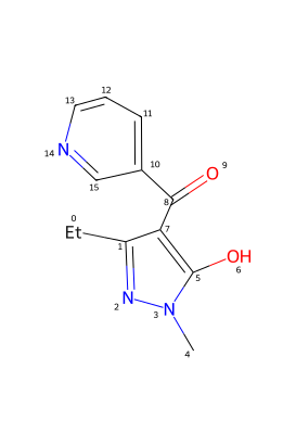 CCc1nn(C)c(O)c1C(=O)c1cccnc1